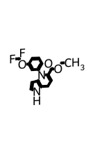 CCOC(=O)C1=CCc2[nH]ccc2N1c1cccc(OC(F)F)c1